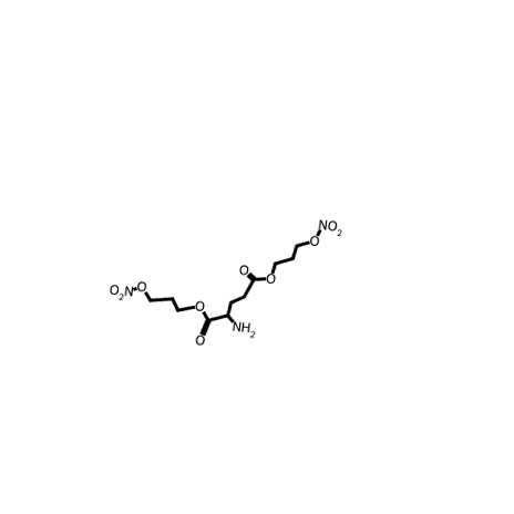 NC(CCC(=O)OCCCO[N+](=O)[O-])C(=O)OCCCO[N+](=O)[O-]